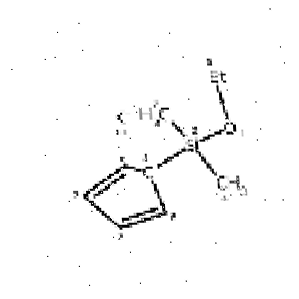 CCO[Si](C)(C)[c-]1cccc1.[K+]